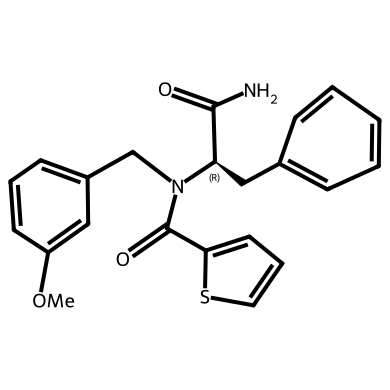 COc1cccc(CN(C(=O)c2cccs2)[C@H](Cc2ccccc2)C(N)=O)c1